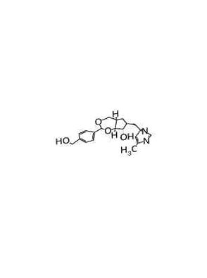 Cc1cc(C[C@@H]2C[C@H]3COC(c4ccc(CO)cc4)O[C@H]3[C@H]2O)ncn1